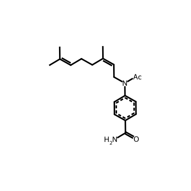 CC(=O)N(CC=C(C)CCC=C(C)C)c1ccc(C(N)=O)cc1